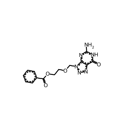 Nc1nc2c(nnn2COCCOC(=O)c2ccccc2)c(=O)[nH]1